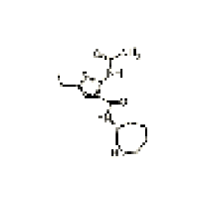 CCc1cc(C(=O)N[C@H]2CCCCNC2)c(NC(N)=O)s1